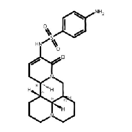 Nc1ccc(S(=O)(=O)NC2=CC[C@@H]3[C@H]4CCCN5CCC[C@@H](CN3C2=O)[C@@H]45)cc1